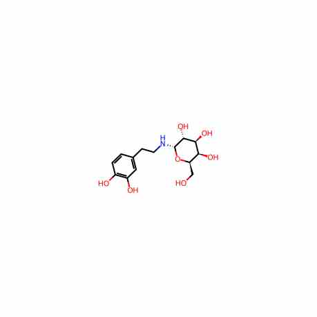 OC[C@H]1O[C@H](NCCc2ccc(O)c(O)c2)[C@H](O)[C@@H](O)[C@H]1O